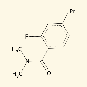 CC(C)c1ccc(C(=O)N(C)C)c(F)c1